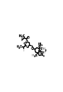 CC(I)C(=O)OCC(COC1CC(C)(C)N(O)C(C)(C)C1)OC(=O)C(C)I